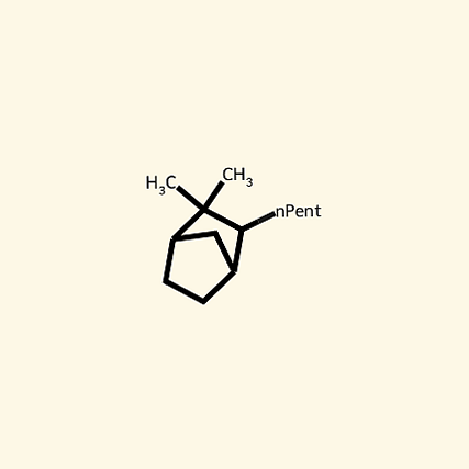 CCCCCC1C2CCC(C2)C1(C)C